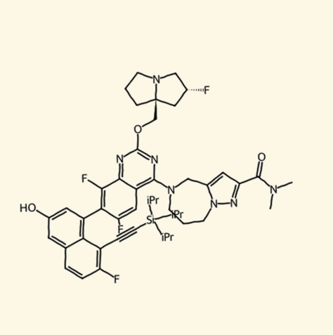 CC(C)[Si](C#Cc1c(F)ccc2cc(O)cc(-c3c(F)cc4c(N5CCCn6nc(C(=O)N(C)C)cc6C5)nc(OC[C@@]56CCCN5C[C@H](F)C6)nc4c3F)c12)(C(C)C)C(C)C